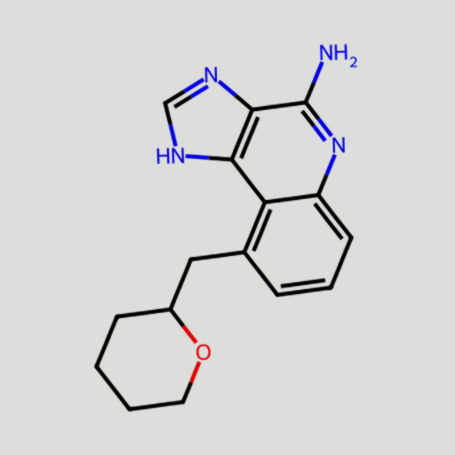 Nc1nc2cccc(CC3CCCCO3)c2c2[nH]cnc12